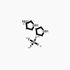 C1CCNC1.C1CCNC1.F[B-](F)(F)F.[NH4+]